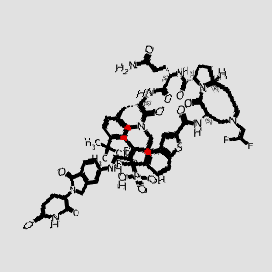 CC(C)(C)c1ccc(C[C@H](NC(=O)[C@H](CCC(N)=O)NC(=O)[C@@H]2CC[C@@H]3CCN(CC(F)F)C[C@H](NC(=O)c4cc5cc(C(F)(F)P(=O)(O)O)ccc5s4)C(=O)N32)C(=O)N2CCC(CCNc3ccc4c(c3)CN(C3CCC(=O)NC3=O)C4=O)CC2)cc1